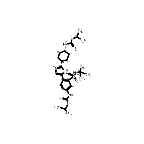 CC(C)OC(=O)Nc1ccc(-c2nnc([C@H]3CC[C@@H](NC(=O)OC(C)C)CC3)s2)c(S(=O)(=O)NC(C)(C)C)c1